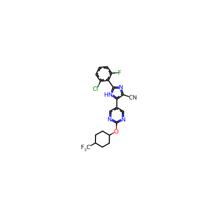 N#Cc1nc(-c2c(F)cccc2Cl)[nH]c1-c1cnc(OC2CCC(C(F)(F)F)CC2)nc1